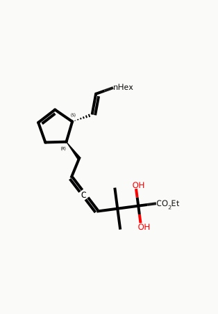 CCCCCCC=C[C@H]1C=CC[C@@H]1CC=C=CC(C)(C)C(O)(O)C(=O)OCC